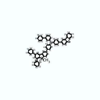 CC1(C)c2ccc(-c3ccc(N(c4ccc(-c5ccc6sc7ccccc7c6c5)cc4)c4cccc(-c5ccccc5)c4)cc3)cc2-c2cc(-c3ccccc3)cc(-c3ccccc3)c21